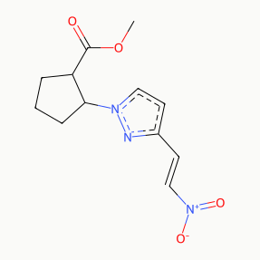 COC(=O)C1CCCC1n1ccc(C=C[N+](=O)[O-])n1